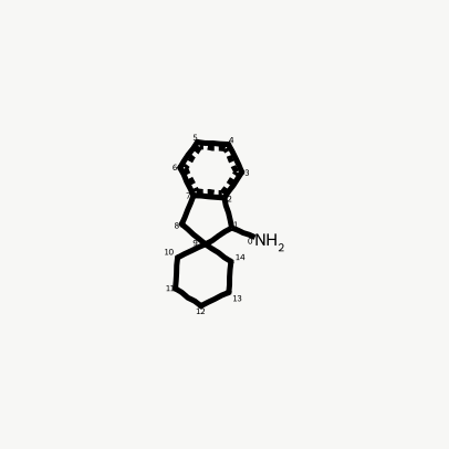 NC1c2ccccc2CC12CCCCC2